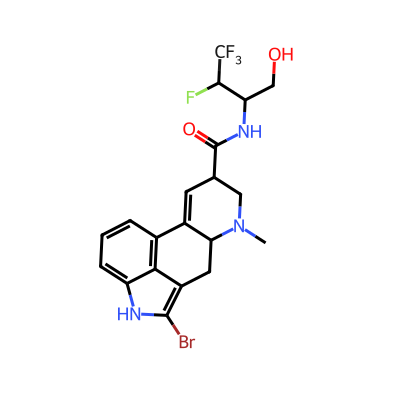 CN1CC(C(=O)NC(CO)C(F)C(F)(F)F)C=C2c3cccc4[nH]c(Br)c(c34)CC21